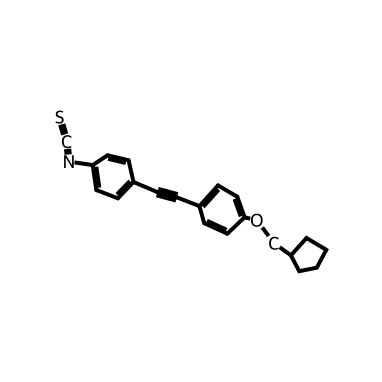 S=C=Nc1ccc(C#Cc2ccc(OCC3CCCC3)cc2)cc1